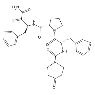 NC(=O)C(=O)[C@H](Cc1ccccc1)NC(=O)[C@@H]1CCCN1C(=O)[C@H](Cc1ccccc1)NC(=O)N1CCC(=O)CC1